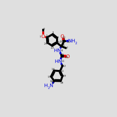 COc1ccc(C(C)(NC(=O)NCc2ccc(N)cc2)C(N)=O)cc1